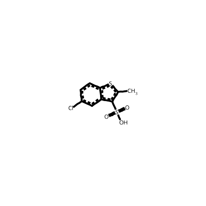 Cc1sc2ccc(Cl)cc2c1S(=O)(=O)O